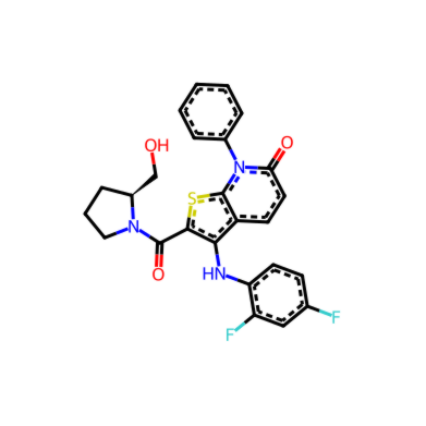 O=C(c1sc2c(ccc(=O)n2-c2ccccc2)c1Nc1ccc(F)cc1F)N1CCC[C@H]1CO